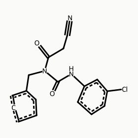 N#CCC(=O)N(Cc1ccccc1)C(=O)Nc1cccc(Cl)c1